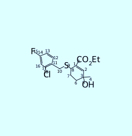 CCOC(=O)C1=CC(C)(O)CCC1SCc1ccc(F)cc1Cl